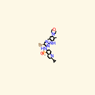 Cc1cc(N2CCOCC2)c(C)cc1Nc1ncc(Br)c(Nc2ccc3nc(C4CC4)ccc3c2P(C)(C)=O)n1